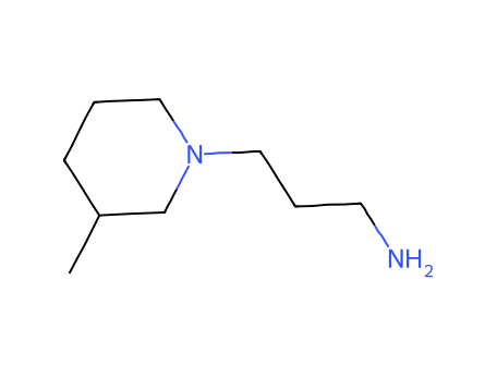 CC1CCCN(CCCN)C1